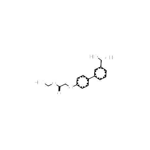 CCOC(=O)COc1ccc(-c2cccc([C@@H](C)O)c2)cc1